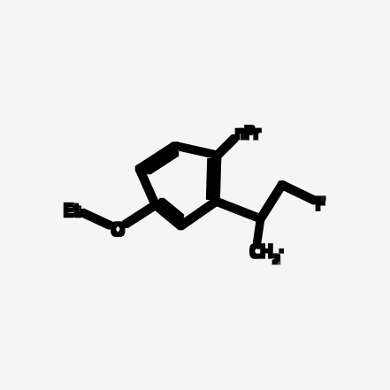 [CH2]C(CF)c1cc(OCC)ccc1CCC